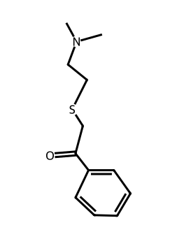 CN(C)CCSCC(=O)c1ccccc1